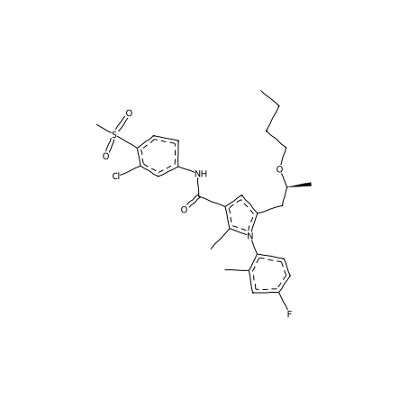 CCCCO[C@@H](C)Cc1cc(C(=O)Nc2ccc(S(C)(=O)=O)c(Cl)c2)c(C)n1-c1ccc(F)cc1C